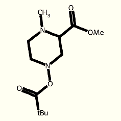 COC(=O)C1CN(OC(=O)C(C)(C)C)CCN1C